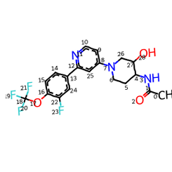 CC(=O)NC1CCN(c2ccnc(-c3ccc(OC(F)(F)F)c(F)c3)c2)CC1O